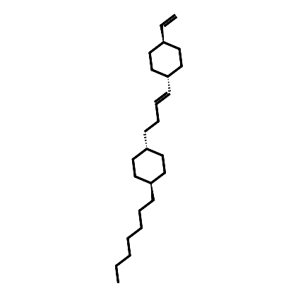 C=C[C@H]1CC[C@H](/C=C/CC[C@H]2CC[C@H](CCCCCCC)CC2)CC1